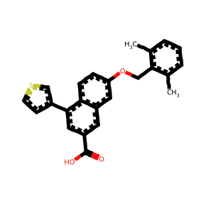 Cc1cccc(C)c1COc1ccc2c(-c3ccsc3)cc(C(=O)O)cc2c1